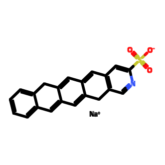 O=S(=O)([O-])c1cc2c(cn1)Cc1cc3c(cc1=C2)Cc1ccccc1C=3.[Na+]